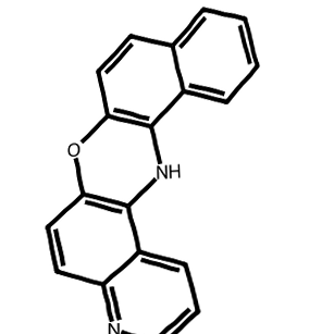 c1ccc2c3c(ccc2c1)Oc1ccc2ncccc2c1N3